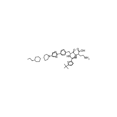 CCC[C@H]1CC[C@H](C2CCN(c3cnc(-c4ccc(C[C@H](NC(=O)c5ccc(C(C)(C)C)s5)C(=O)NC(CCN)C(=O)O)cc4)nc3)CC2)CC1